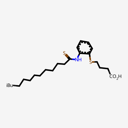 CCC(C)CCCCCCCCCC(=S)Nc1ccccc1SCCCC(=O)O